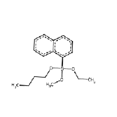 CCCCO[Si](OC)(OCC)c1cccc2ccccc12